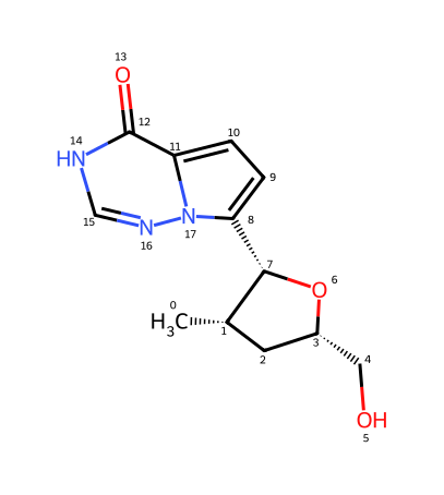 C[C@H]1C[C@@H](CO)O[C@H]1c1ccc2c(=O)[nH]cnn12